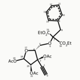 C#C[C@@]1(OC(C)=O)[C@@H](COC(Cc2ccccc2)(C(=O)OCC)C(=O)OCC)OC(OC(C)=O)[C@@H]1OC(C)=O